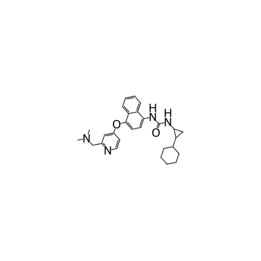 CN(C)Cc1cc(Oc2ccc(NC(=O)NC3CC3C3CCCCC3)c3ccccc23)ccn1